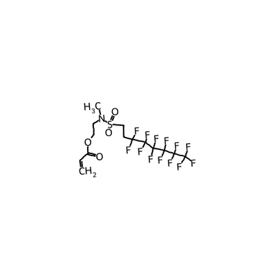 C=CC(=O)OCCN(C)S(=O)(=O)CCC(F)(F)C(F)(F)C(F)(F)C(F)(F)C(F)(F)C(F)(F)F